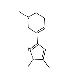 Cc1cc(C2=CCCN(C)C2)nn1C